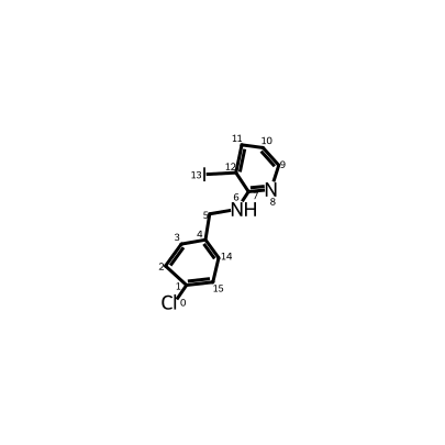 Clc1ccc(CNc2ncccc2I)cc1